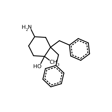 CC1(O)CCC(N)CC1(Cc1ccccc1)Cc1ccccc1